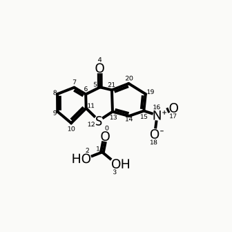 O=C(O)O.O=c1c2ccccc2sc2cc([N+](=O)[O-])ccc12